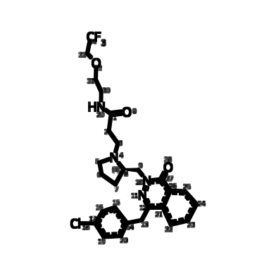 O=C(CCN1CCC[C@@H]1Cn1nc(Cc2ccc(Cl)cc2)c2ccccc2c1=O)NCCOCC(F)(F)F